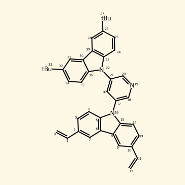 C=Cc1ccc2c(c1)c1cc(C=C)ccc1n2-c1cncc(-n2c3ccc(C(C)(C)C)cc3c3cc(C(C)(C)C)ccc32)c1